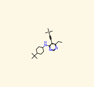 CCc1ncnc(NC2CCC(C(C)(C)C)CC2)c1C#C[Si](C)(C)C